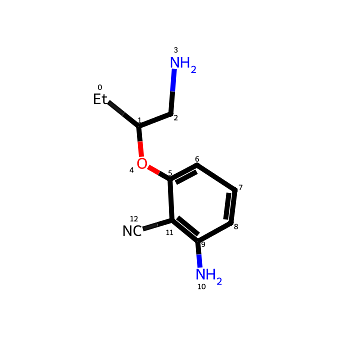 CCC(CN)Oc1cccc(N)c1C#N